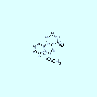 COc1cc2c(c3ccccc13)CC=CC2=O